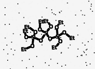 CCO[Si](OCC)(OCC)O[Si](OCC)(OCC)O[Si](OCC)(OCC)OCC